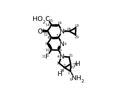 N[C@H]1[C@H]2CN(c3nc4c(cc3F)c(=O)c(C(=O)O)cn4C3CC3)C[C@@H]12